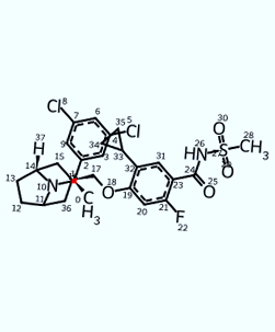 C[C@H](c1cc(Cl)cc(Cl)c1)N1C2CC[C@@H]1C[C@@H](COc1cc(F)c(C(=O)NS(C)(=O)=O)cc1C1CC1)C2